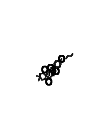 CCCCOc1ccc(S(=O)(=O)N2CCC3(C2)C(=O)CC(C)(C)CC3=O)cc1